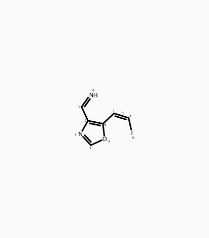 N=Cc1ncoc1/C=C\I